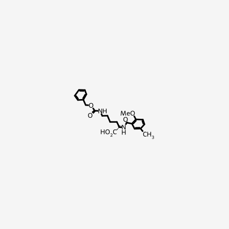 COc1ccc(C)cc1C(=O)N[C@@H](CCCCNC(=O)OCc1ccccc1)C(=O)O